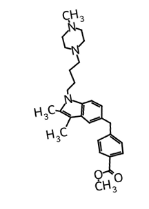 COC(=O)c1ccc(Cc2ccc3c(c2)c(C)c(C)n3CCCCN2CCN(C)CC2)cc1